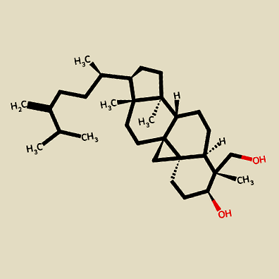 C=C(CC[C@@H](C)[C@H]1CC[C@@]2(C)[C@@H]3CC[C@H]4[C@](C)(CO)[C@@H](O)CC[C@@]45C[C@@]35CC[C@]12C)C(C)C